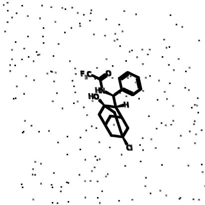 O=C(N[C@@H](c1ccccc1)[C@@H]1C2CC3C[C@@](Cl)(C2)C[C@]1(O)C3)C(F)(F)F